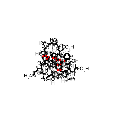 CC(C)C[C@H](NC(=O)[C@H](CO)NC(=O)[C@H](C)NC(=O)[C@H](CO)NC(=O)[C@H](CCC(N)=O)NC(=O)[C@H](CCCCN)NC(=O)[C@H](CO)NC(=O)[C@@H](N)[C@@H](C)O)C(=O)N[C@@H](CO)C(=O)N[C@@H](CC(=O)O)C(=O)N1CCC[C@H]1C(=O)N[C@@H](Cc1ccccc1)C(=O)N[C@H](C(=O)N[C@H](C(=O)N[C@@H](CC(C)C)C(=O)N[C@@H](CCC(=O)O)C(=O)N[C@H](C(=O)N[C@H](C(=O)N[C@@H](CO)C(=O)N[C@@H](CO)C(=O)O)[C@@H](C)O)[C@@H](C)O)C(C)C)C(C)C